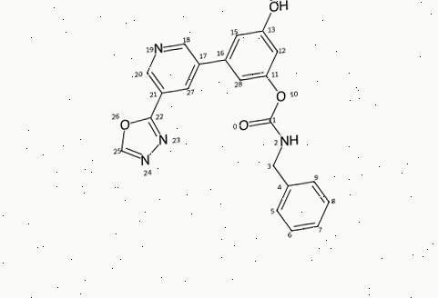 O=C(NCc1ccccc1)Oc1cc(O)cc(-c2cncc(-c3nnco3)c2)c1